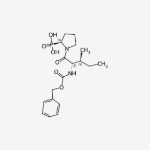 CC[C@H](C)[C@H](NC(=O)OCc1ccccc1)C(=O)N1CCC[C@@H]1P(=O)(O)O